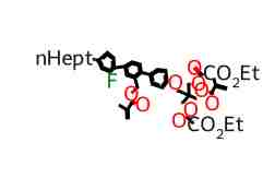 C=C(C)C(=O)OCc1cc(-c2ccc(CCCCCCC)cc2F)ccc1-c1ccc(OCC(COC(=O)C(=C)C)(COC(=O)C(=O)OCC)COC(=O)C(=O)OCC)cc1